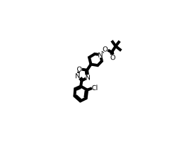 CC(C)(C)C(=O)ON1CCC(c2nc(-c3ccccc3Cl)no2)CC1